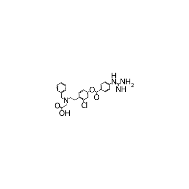 N=C(N)Nc1ccc(C(=O)Oc2ccc(CCN(CC(=O)O)Cc3ccccc3)c(Cl)c2)cc1